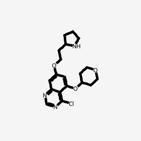 Clc1ncnc2cc(OCCC3CCCN3)cc(OC3CCOCC3)c12